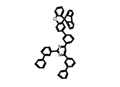 c1ccc(-c2cccc(-c3cc(-c4cccc(-c5ccc6c(c5)C5(c7ccccc7O6)c6ccccc6-c6ccccc65)c4)nc(-c4cccc(-c5ccccc5)c4)n3)c2)cc1